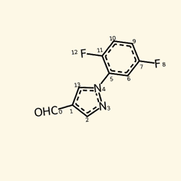 O=Cc1cnn(-c2cc(F)ccc2F)c1